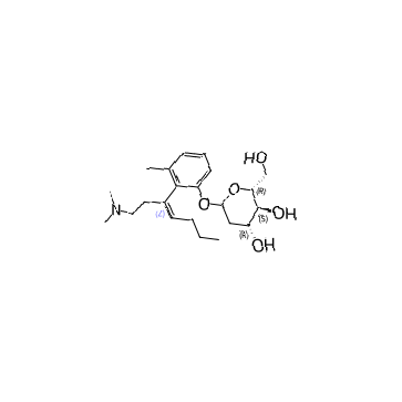 CCC/C=C(/CCN(C)C)c1c(C)cccc1OC1C[C@@H](O)[C@H](O)[C@@H](CO)O1